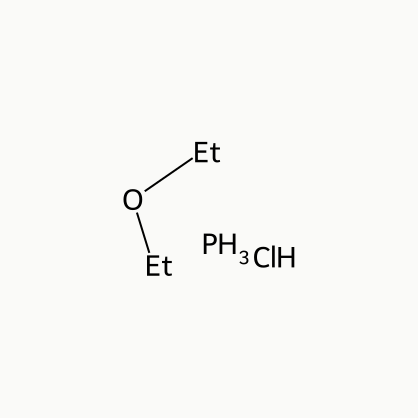 CCOCC.Cl.P